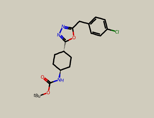 CC(C)(C)OC(=O)N[C@H]1CC[C@H](c2nnc(Cc3ccc(Cl)cc3)o2)CC1